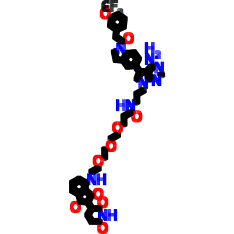 Nc1ncnc2c1c(-c1ccc3c(c1)CCN3C(=O)Cc1cccc(OC(F)(F)F)c1)cn2CCCNC(=O)CCOCCOCCOCCNc1cccc2c1C(=O)C(C1CCC(=O)NC1=O)C2=O